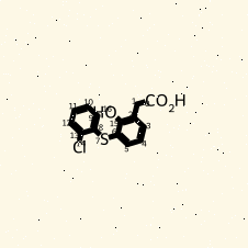 O=C(O)Cc1cccc(Sc2ccccc2Cl)c1O